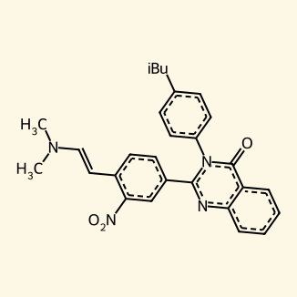 CCC(C)c1ccc(-n2c(-c3ccc(C=CN(C)C)c([N+](=O)[O-])c3)nc3ccccc3c2=O)cc1